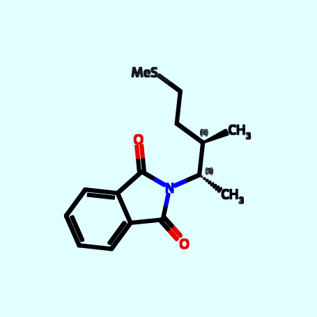 CSCC[C@@H](C)[C@H](C)N1C(=O)c2ccccc2C1=O